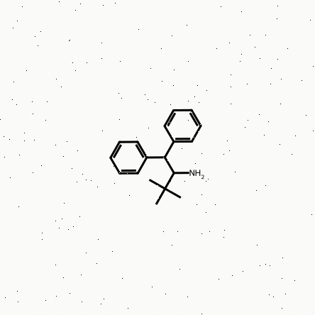 CC(C)(C)C(N)C(c1ccccc1)c1ccccc1